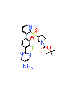 CC(C)(C)OC(=O)N1CCC(S(=O)(=O)c2ncccc2-c2ccc(-c3ncc(N)cn3)c(F)c2)C1